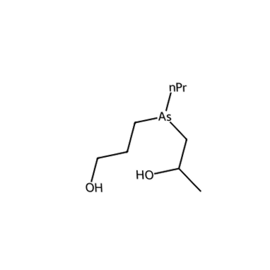 CCC[As](CCCO)CC(C)O